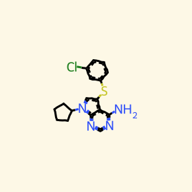 Nc1ncnc2c1c(Sc1cccc(Cl)c1)cn2C1CCCC1